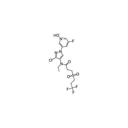 CCN(C(=O)CCS(=O)(=O)CCC(F)(F)F)c1cn(-c2cc(F)c[n+](O)c2)nc1Cl